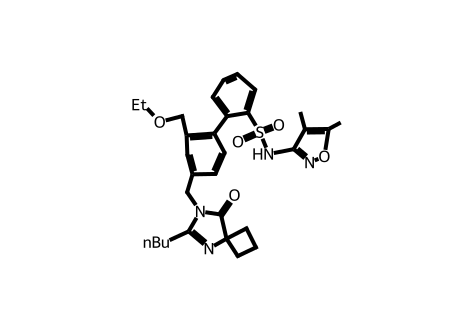 CCCCC1=NC2(CCC2)C(=O)N1Cc1ccc(-c2ccccc2S(=O)(=O)Nc2noc(C)c2C)c(COCC)c1